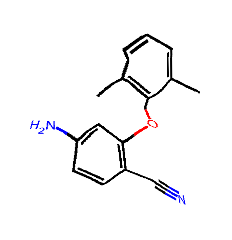 Cc1cccc(C)c1Oc1cc(N)ccc1C#N